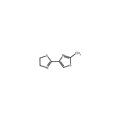 Cc1nc(C2=NCCS2)cs1